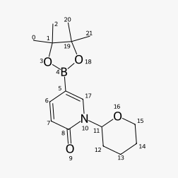 CC1(C)OB(c2ccc(=O)n(C3CCCCO3)c2)OC1(C)C